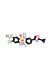 Cc1cc(S(=O)(=O)Nc2cccc(-c3coc(C4CC4)n3)c2)c(C)cc1Cl